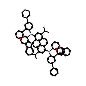 CC(C)c1cc(N(c2ccc(C3=CCCC=C3)cc2-c2ccccc2)c2cccc3c2oc2ccccc23)c2ccc3c(C(C)C)cc(N(c4ccc(-c5ccccc5)cc4-c4ccccc4)c4cccc5c4oc4ccccc45)c4ccc1c2c34